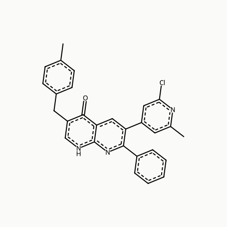 Cc1ccc(Cc2c[nH]c3nc(-c4ccccc4)c(-c4cc(C)nc(Cl)c4)cc3c2=O)cc1